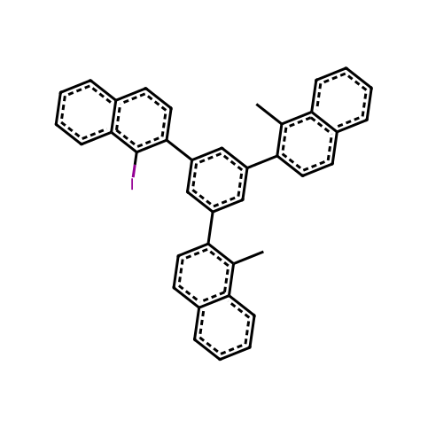 Cc1c(-c2cc(-c3ccc4ccccc4c3C)cc(-c3ccc4ccccc4c3I)c2)ccc2ccccc12